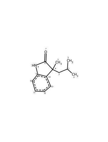 CC(C)CC1(C)C(=O)Nc2ccccc21